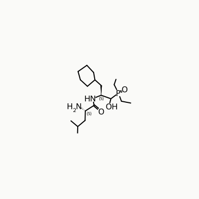 CCP(=O)(CC)C(O)[C@H](CC1CCCCC1)NC(=O)[C@@H](N)CC(C)C